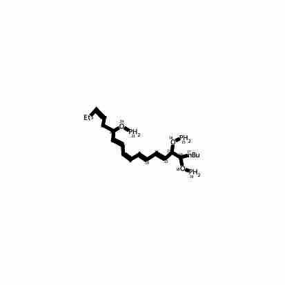 CC/C=C\CC(/C=C/C=C\C=C\C=C\C(OP)C(CCCC)OP)OP